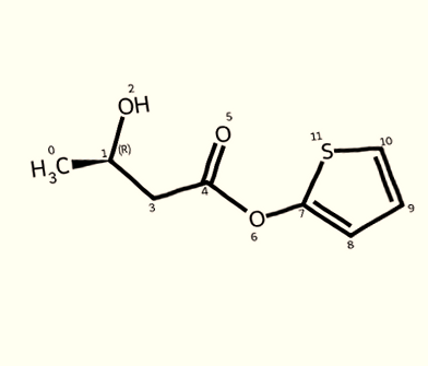 C[C@@H](O)CC(=O)Oc1cccs1